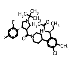 CC[C@H](NC(C)=O)c1cc(C)c(Cl)cc1C1CCN(C(=O)C2CN(C(C)(C)C)C[C@H]2c2ccc(F)cc2F)CC1